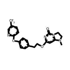 CN1CCn2c1cc(OCCc1ccc(Oc3ccc(C(F)(F)F)cn3)cc1)nc2=O